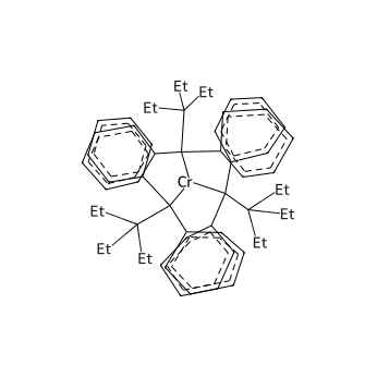 CCC(CC)(CC)[C](c1ccccc1)(c1ccccc1)[Cr]([C](c1ccccc1)(c1ccccc1)C(CC)(CC)CC)[C](c1ccccc1)(c1ccccc1)C(CC)(CC)CC